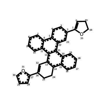 C1=C(c2ccc3c4ccccc4c4c5c(c6ccccc6c4c3c2)CCC(c2ccco2)=C5)OCC1